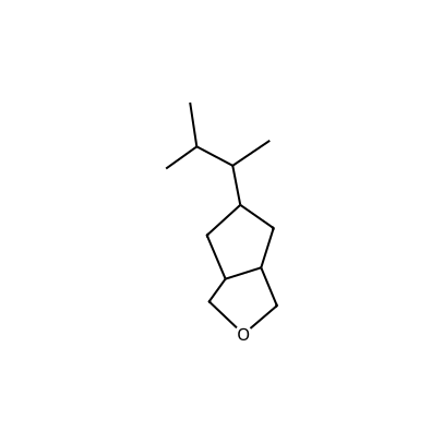 CC(C)C(C)C1CC2COCC2C1